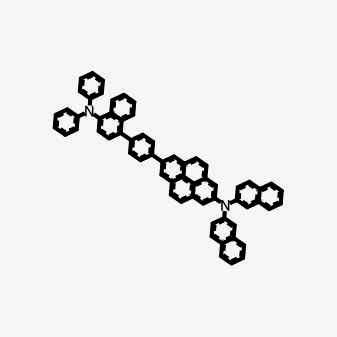 c1ccc(N(c2ccccc2)c2ccc(-c3ccc(-c4cc5ccc6cc(N(c7ccc8ccccc8c7)c7ccc8ccccc8c7)cc7ccc(c4)c5c67)cc3)c3ccccc23)cc1